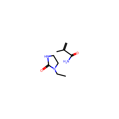 C=C(C)C(N)=O.CCN1CCNC1=O